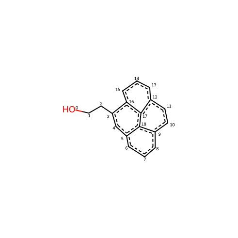 OCCc1cc2cccc3ccc4cccc1c4c32